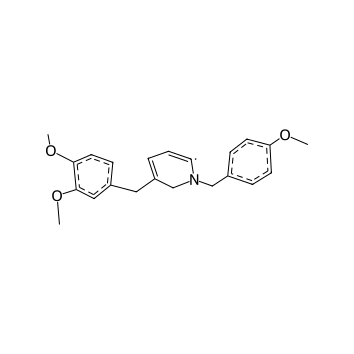 COc1ccc(CN2[C]=CC=C(Cc3ccc(OC)c(OC)c3)C2)cc1